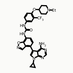 CCN1CCC(Oc2ccc(NC(=O)Nc3ccc(-c4cn(C5CC5)c5ncnc(N)c45)c4cnoc34)cc2C(F)(F)F)CC1